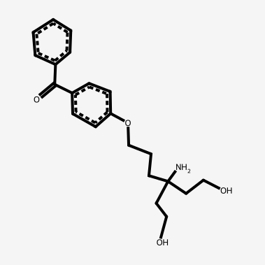 NC(CCO)(CCO)CCCOc1ccc(C(=O)c2ccccc2)cc1